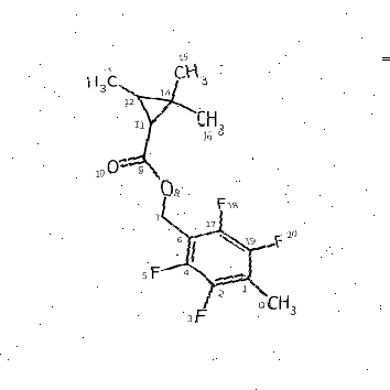 Cc1c(F)c(F)c(COC(=O)C2C(C)C2(C)C)c(F)c1F